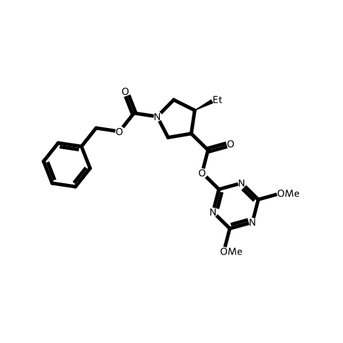 CC[C@@H]1CN(C(=O)OCc2ccccc2)CC1C(=O)Oc1nc(OC)nc(OC)n1